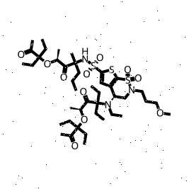 CCCC(C)(NS(=O)(=O)c1cc2c(s1)S(=O)(=O)N(CCCOC)C[C@@H]2N(CC)C(CC)(CC)C(=O)[C@H](C)OC(CC)(CC)C(C)=O)C(=O)[C@H](C)OC(CC)(CC)C(C)=O